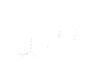 CN(C)N(C)CC(=O)N1CCC(NS)CC1